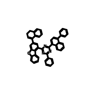 C1=C(c2cc(-c3nc(-c4ccccc4)nc(-c4ccc(-c5ccccc5)c5ccccc45)n3)c3c(c2)oc2ccccc23)c2ccccc2CC1